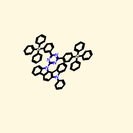 c1ccc(-n2c3ccccc3c3c2ccc2c4ccccc4n(-c4nc(-c5ccc([Si](c6ccccc6)(c6ccccc6)c6ccccc6)cc5)nc(-c5cccc([Si](c6ccccc6)(c6ccccc6)c6ccccc6)c5)n4)c23)cc1